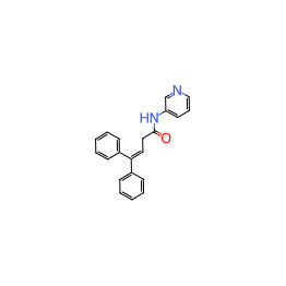 O=C(CC=C(c1ccccc1)c1ccccc1)Nc1cccnc1